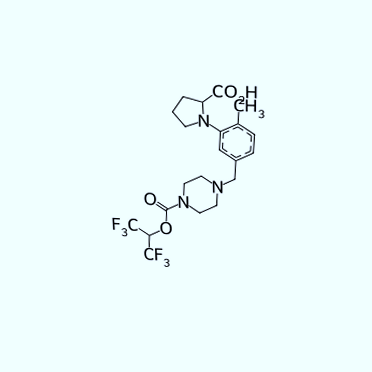 Cc1ccc(CN2CCN(C(=O)OC(C(F)(F)F)C(F)(F)F)CC2)cc1N1CCCC1C(=O)O